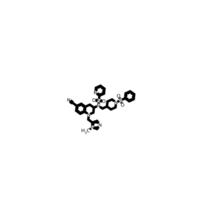 Cn1cncc1CN1CC(N(CC2CCN(S(=O)(=O)c3ccccc3)CC2)S(=O)(=O)c2ccccn2)Cc2cc(C#N)ccc21